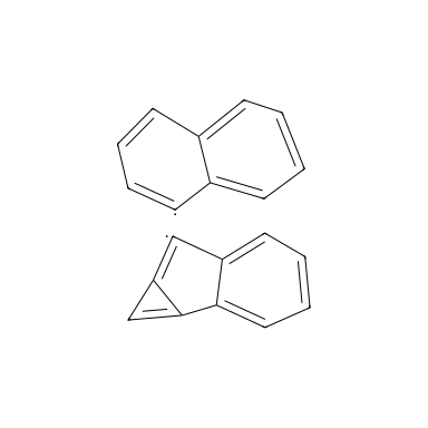 [c]1c2cc-2c2ccccc12.[c]1cccc2ccccc12